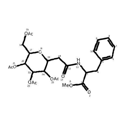 COC(=O)C(Cc1ccccc1)NC(=O)CC1OC(COC(C)=O)C(OC(C)=O)C(OC(C)=O)C1OC(C)=O